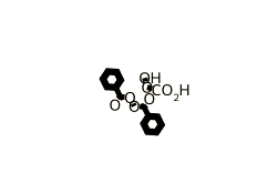 O=C(O)OO.O=C(OOC(=O)c1ccccc1)c1ccccc1